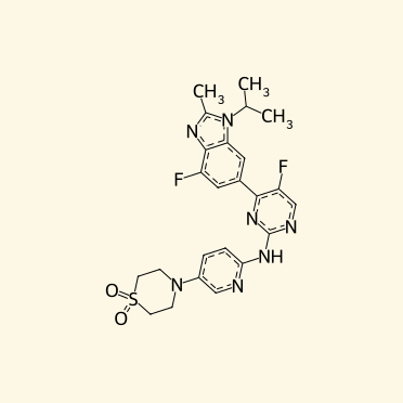 Cc1nc2c(F)cc(-c3nc(Nc4ccc(N5CCS(=O)(=O)CC5)cn4)ncc3F)cc2n1C(C)C